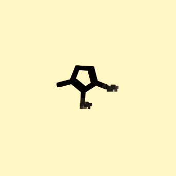 CCCC1=CCC(C)=C1CCC